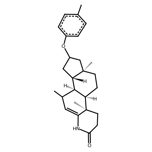 Cc1ccc(OC2C[C@H]3[C@@H]4C(C)C=C5NC(=O)CC[C@]5(C)[C@@H]4CC[C@]3(C)C2)cc1